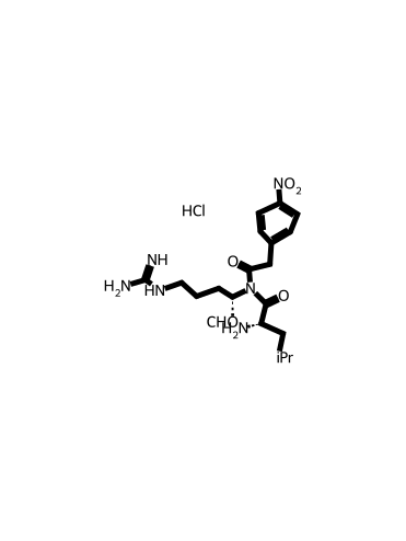 CC(C)C[C@H](N)C(=O)N(C(=O)Cc1ccc([N+](=O)[O-])cc1)[C@H](C=O)CCCNC(=N)N.Cl